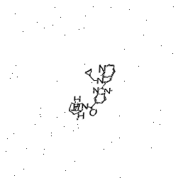 Cn1c(-c2cc3cccnc3n2CC2CC2)nc2cc(C(=O)N3C[C@H]4CC5C[C@@H]3[C@H]54)ccc21